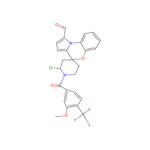 COc1cc(C(=O)N2CCC3(CC2Cl)Oc2ccccc2-n2c(C=O)ccc23)ccc1C(F)(F)F